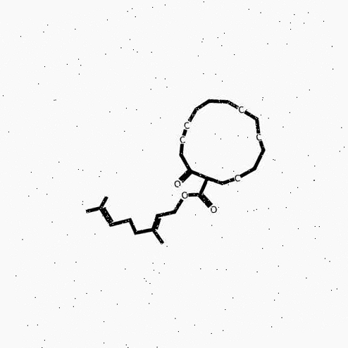 CC(C)=CCC/C(C)=C/COC(=O)C1CCCCCCCCCCCCCC1=O